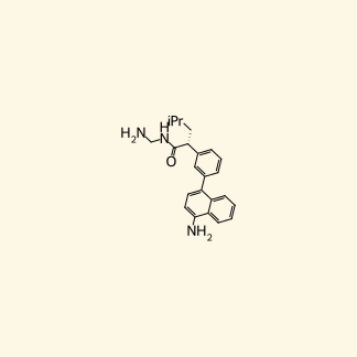 CC(C)C[C@@H](C(=O)NCN)c1cccc(-c2ccc(N)c3ccccc23)c1